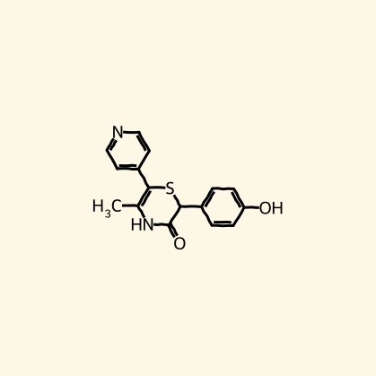 CC1=C(c2ccncc2)SC(c2ccc(O)cc2)C(=O)N1